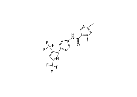 Cc1cc(C)c(C(=O)Nc2ccc(-n3nc(C(F)(F)F)cc3C(F)(F)F)cc2)cn1